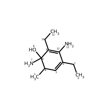 CCC1=CC(C)C(N)(O)C(CC)=C1N